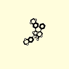 O=C1OC[C@H](c2ccccc2)N2[C@H]1[C@H](c1ccc3c(c1)OCCO3)O[C@H]2c1ccc2c(c1)OCCO2